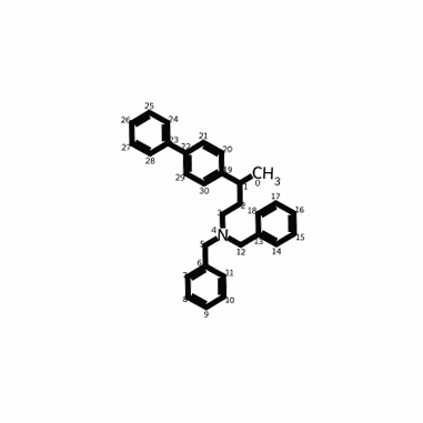 CC(CCN(Cc1ccccc1)Cc1ccccc1)c1ccc(-c2ccccc2)cc1